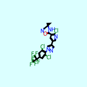 N#CC1(NC(=O)c2cc(-c3cnn(-c4c(Cl)cc(C(F)(C(F)(F)F)C(F)(F)F)cc4Cl)c3)cnc2Cl)CC1